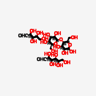 O=C[C@@H](O)[C@@H](O)[C@H](O)[C@H](O)CO.O=C[C@@H](O)[C@H](O)[C@H](O)CO.OC[C@H]1O[C@@H](O[C@H]2[C@H](O)[C@@H](O)[C@H](O)O[C@@H]2CO)[C@H](O)[C@@H](O)[C@H]1O